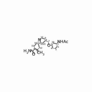 CC(=O)Nc1cccc(OCc2ccnc(-c3ccc(C(N)=O)c(C)c3)c2)c1